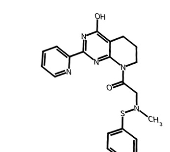 CN(CC(=O)N1CCCc2c(O)nc(-c3ccccn3)nc21)Sc1ccccc1